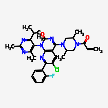 C=CC(=O)N1CC(C)N(c2nc(=O)n(-c3c(C)nc(C)nc3C(C)C)c3nc(-c4ccccc4F)c(Cl)cc23)CC1C